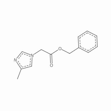 Cc1cn(CC(=O)OCc2ccccc2)cn1